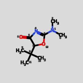 CN(C)C1=NC(=O)C(C(C)(C)C)O1